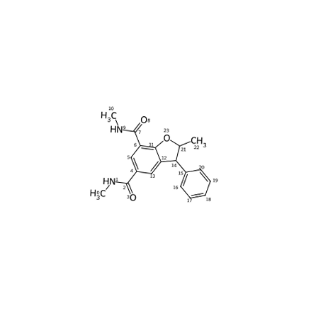 CNC(=O)c1cc(C(=O)NC)c2c(c1)C(c1ccccc1)C(C)O2